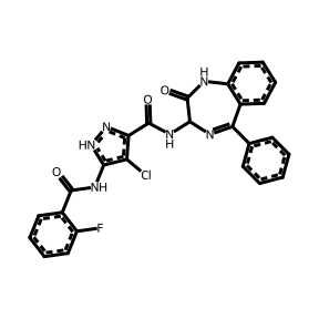 O=C(Nc1[nH]nc(C(=O)NC2N=C(c3ccccc3)c3ccccc3NC2=O)c1Cl)c1ccccc1F